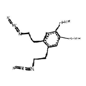 [CH2]CCCCCc1cc(CCN=[N+]=[N-])c(CCN=[N+]=[N-])cc1CCCCC[CH2]